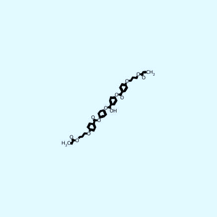 C=CC(=O)OCCCOc1ccc(C(=O)OC2=CC=C(OC(O)c3ccc(OC(=O)c4ccc(OCCCOC(=O)C=C)cc4)cc3)CC2)cc1